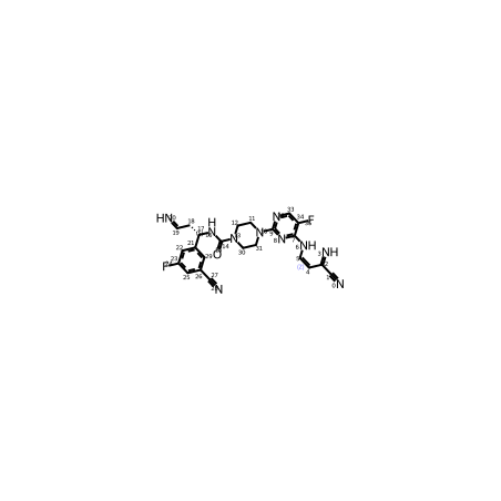 N#CC(=N)/C=C\Nc1nc(N2CCN(C(=O)N[C@@H](CC=N)c3cc(F)cc(C#N)c3)CC2)ncc1F